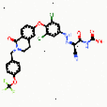 N#CC(=NNc1cc(Cl)c(Oc2ccc3c(c2)CCN(Cc2ccc(OC(F)(F)F)cc2)C3=O)c(Cl)c1)C(=O)NC(=O)O